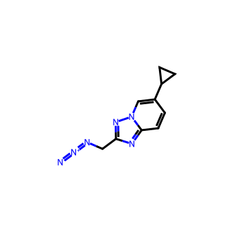 [N-]=[N+]=NCc1nc2ccc(C3CC3)cn2n1